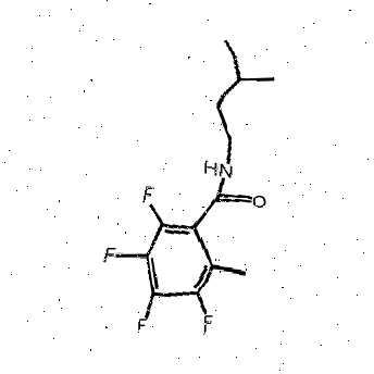 Cc1c(F)c(F)c(F)c(F)c1C(=O)NCCC(C)C